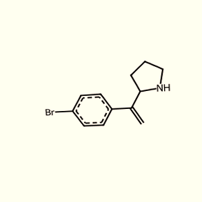 C=C(c1ccc(Br)cc1)C1CCCN1